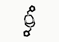 c1ccc(CN2CCN3CCCN(CC2)CCN(Cc2ccccc2)CC3)cc1